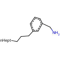 CCCCCCCCCCc1cccc(CN)c1